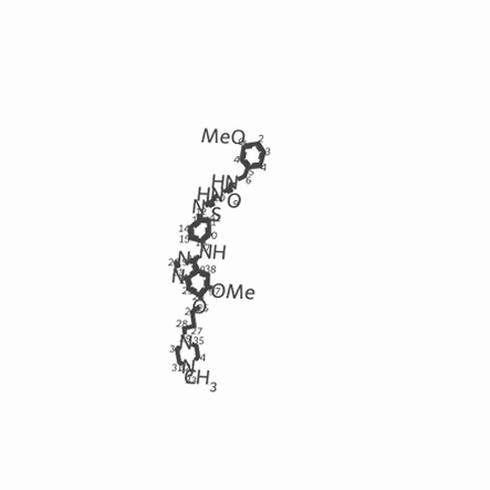 COc1cccc(CNC(=O)Nc2nc3ccc(Nc4ncnc5cc(OCCCN6CCN(C)CC6)c(OC)cc45)cc3s2)c1